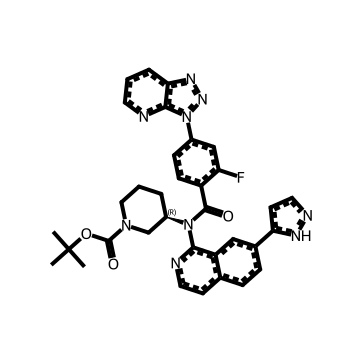 CC(C)(C)OC(=O)N1CCC[C@@H](N(C(=O)c2ccc(-n3nnc4cccnc43)cc2F)c2nccc3ccc(-c4ccn[nH]4)cc23)C1